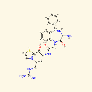 N=C(N)NCCC[C@@H](NC(=O)CN1C(=O)C(N)N=C(c2ccccc2)c2ccccc21)C(=O)c1nccs1